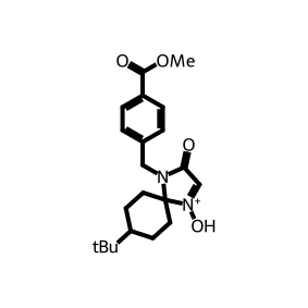 COC(=O)c1ccc(CN2C(=O)C=[N+](O)C23CCC(C(C)(C)C)CC3)cc1